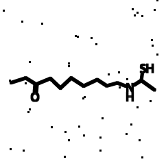 CCC(=O)CCCCCCCNC(C)S